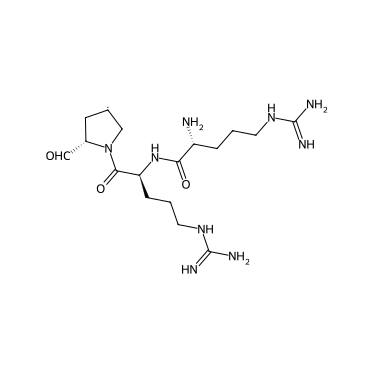 N=C(N)NCCC[C@@H](N)C(=O)N[C@@H](CCCNC(=N)N)C(=O)N1C[CH]C[C@H]1C=O